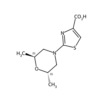 C[C@H]1CN(c2nc(C(=O)O)cs2)C[C@H](C)O1